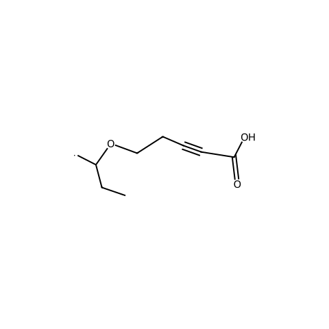 [CH2]C(CC)OCCC#CC(=O)O